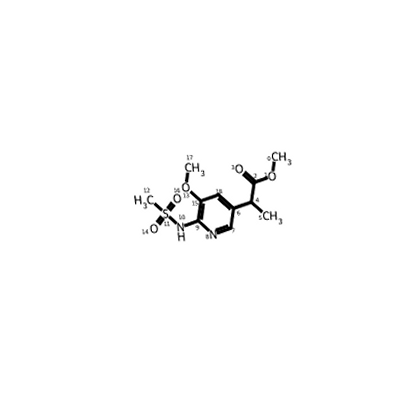 COC(=O)C(C)c1cnc(NS(C)(=O)=O)c(OC)c1